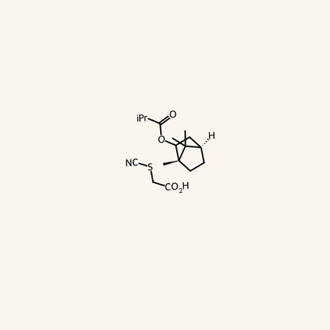 CC(C)C(=O)OC1C[C@H]2CC[C@@]1(C)C2(C)C.N#CSCC(=O)O